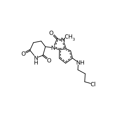 Cn1c(=O)n(C2CCC(=O)NC2=O)c2ccc(NCCCCl)cc21